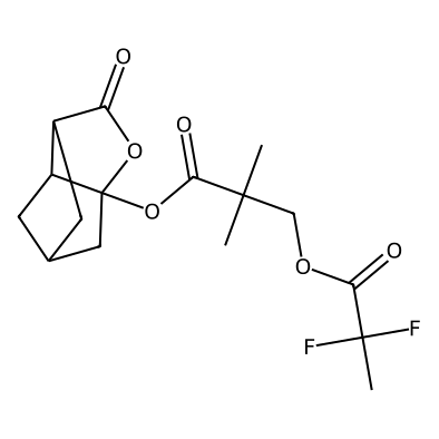 CC(F)(F)C(=O)OCC(C)(C)C(=O)OC12CC3CC(C(=O)O1)C2C3